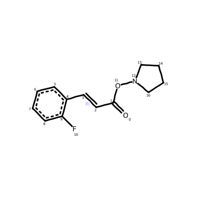 O=C(/C=C/c1ccccc1F)ON1CCCC1